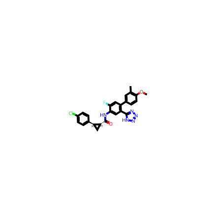 COc1ccc(-c2cc(F)c(NC(=O)[C@@H]3C[C@H]3c3ccc(Cl)cc3)cc2-c2nnn[nH]2)cc1C